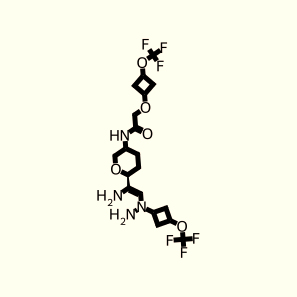 N/C(=C\N(N)C1CC(OC(F)(F)F)C1)[C@@H]1CCC(NC(=O)COC2CC(OC(F)(F)F)C2)CO1